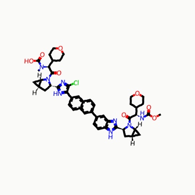 COC(=O)N[C@H](C(=O)N1[C@@H]2C[C@@H]2C[C@H]1c1nc2cc(-c3ccc4cc(-c5[nH]c([C@@H]6C[C@H]7C[C@H]7N6C(=O)[C@H](C6CCOCC6)N(C)C(=O)O)nc5Cl)ccc4c3)ccc2[nH]1)C1CCOCC1